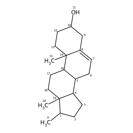 CC1CCC2C3CC=C4CC(O)CCC4(C)C3CCC12C